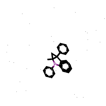 CC1(P(c2ccccc2)c2ccccc2)CC1(c1ccccc1)c1ccccc1